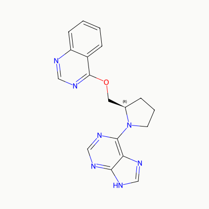 c1ccc2c(OC[C@H]3CCCN3c3ncnc4[nH]cnc34)ncnc2c1